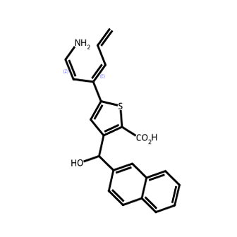 C=C/C=C(\C=C/N)c1cc(C(O)c2ccc3ccccc3c2)c(C(=O)O)s1